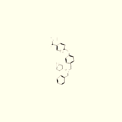 NC(=O)c1ccc(Oc2ccc(CN(Cc3ccccc3)[C@H]3CCNC3)cc2)nc1